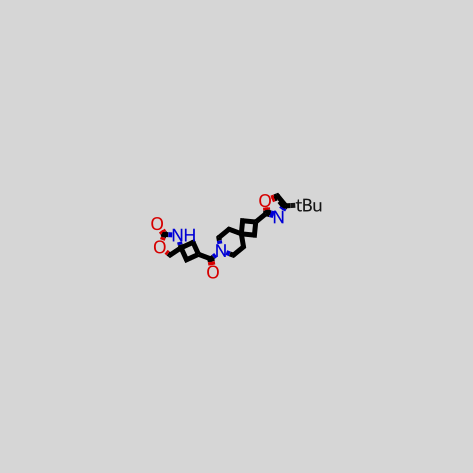 CC(C)(C)c1coc(C2CC3(CCN(C(=O)C4CC5(COC(=O)N5)C4)CC3)C2)n1